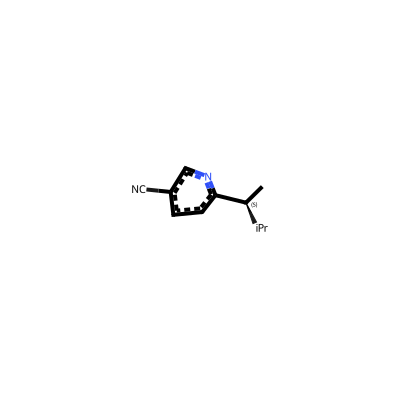 CC(C)[C@H](C)c1ccc(C#N)cn1